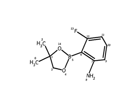 CC1(C)COB(c2c(N)cccc2F)O1